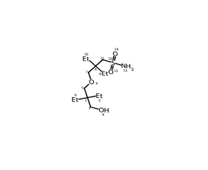 CCC(CC)(CO)COCC(CC)(CC)CS(N)(=O)=O